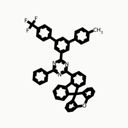 Cc1ccc(-c2cc(-c3ccc(C(F)(F)F)cc3)cc(-c3nc(-c4ccccc4)nc(-c4cccc5c4-c4ccccc4C54c5ccccc5Oc5ccccc54)n3)c2)cc1